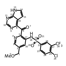 COCc1cnc(C(=O)c2ncnc3[nH]ccc23)c(NS(=O)(=O)c2ccc(Cl)c(C(F)(F)F)c2)c1